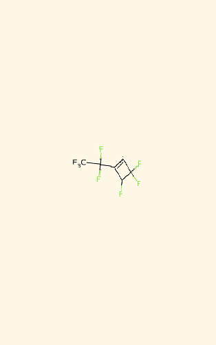 FC1C(C(F)(F)C(F)(F)F)=[C]C1(F)F